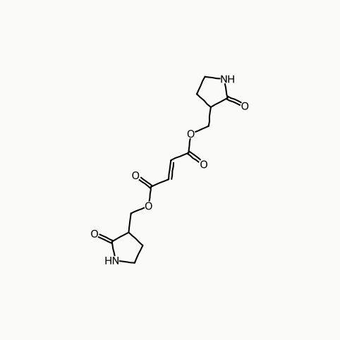 O=C(/C=C/C(=O)OCC1CCNC1=O)OCC1CCNC1=O